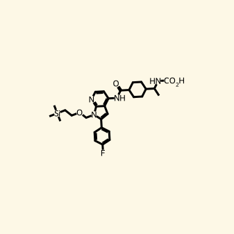 CC(NC(=O)O)C1CCC(C(=O)Nc2ccnc3c2cc(-c2ccc(F)cc2)n3COCC[Si](C)(C)C)CC1